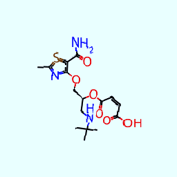 Cc1nc(OC[C@H](CNC(C)(C)C)OC(=O)/C=C\C(=O)O)c(C(N)=O)s1